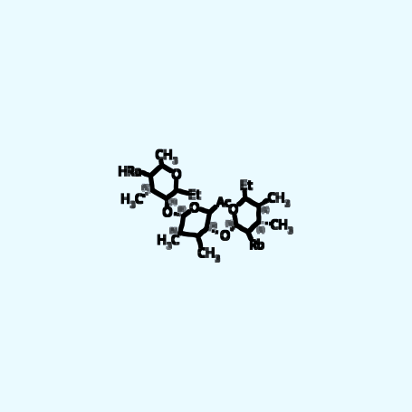 CCC1O[C@@H](O[C@H]2C(C(C)=O)O[C@@H](O[C@@H]3C(CC)OC(C)[CH]([RaH])[C@H]3C)[C@@H](C)C2C)[CH]([Rb])[C@@H](C)[C@@H]1C